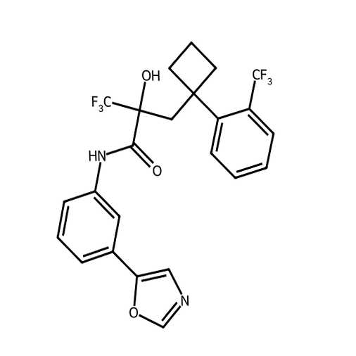 O=C(Nc1cccc(-c2cnco2)c1)C(O)(CC1(c2ccccc2C(F)(F)F)CCC1)C(F)(F)F